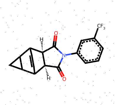 O=C1[C@@H]2C3C=CC(C4CC43)[C@@H]2C(=O)N1c1cccc(C(F)(F)F)c1